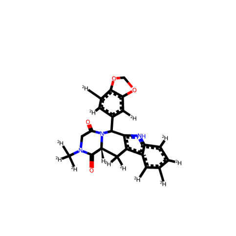 [2H]c1c([2H])c(C2c3[nH]c4c([2H])c([2H])c([2H])c([2H])c4c3C([2H])([2H])[C@@H]3C(=O)N(C([2H])([2H])[2H])CC(=O)N23)c([2H])c2c1OCO2